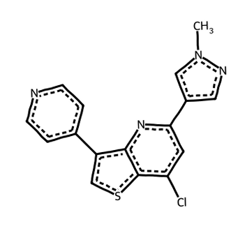 Cn1cc(-c2cc(Cl)c3scc(-c4ccncc4)c3n2)cn1